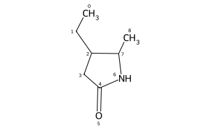 CCC1CC(=O)NC1C